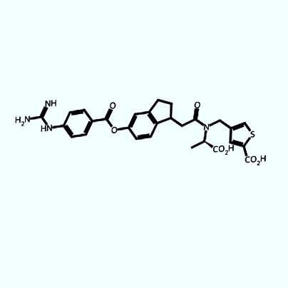 C[C@H](C(=O)O)N(Cc1csc(C(=O)O)c1)C(=O)CC1CCc2cc(OC(=O)c3ccc(NC(=N)N)cc3)ccc21